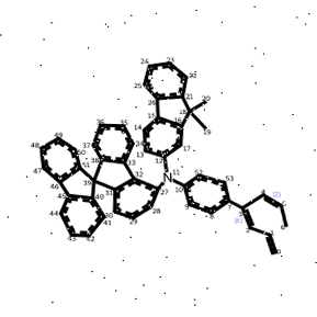 C=C/C=C(\C=C/C)c1ccc(N(c2ccc3c(c2)C(C)(C)c2ccccc2-3)c2cccc3c2-c2ccccc2C32c3ccccc3-c3ccccc32)cc1